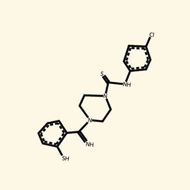 N=C(c1ccccc1S)N1CCN(C(=S)Nc2ccc(Cl)cc2)CC1